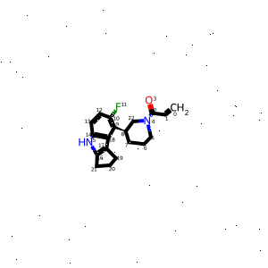 C=CC(=O)N1CCC[C@@H](c2c(F)ccc3[nH]c4c(c23)CCC4)C1